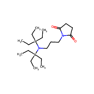 CC[Si](CC)(CC)N(CCCN1C(=O)CCC1=O)[Si](CC)(CC)CC